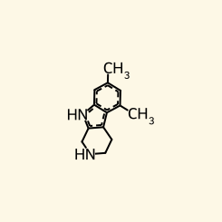 Cc1cc(C)c2c3c([nH]c2c1)CNCC3